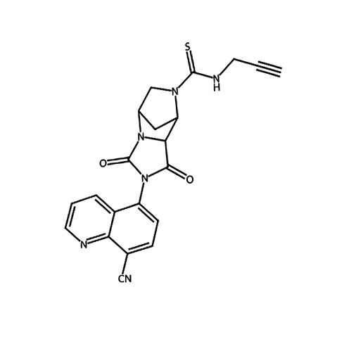 C#CCNC(=S)N1CC2CC1C1C(=O)N(c3ccc(C#N)c4ncccc34)C(=O)N21